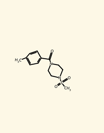 Cc1ccc(C(=O)N2CCN(S(C)(=O)=O)CC2)cc1